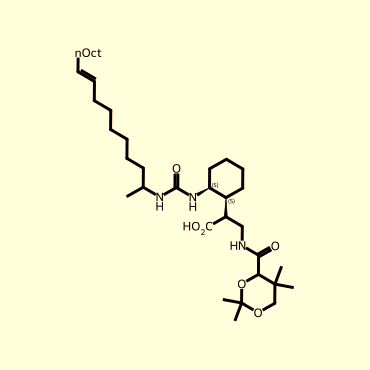 CCCCCCCCC=CCCCCCCC(C)NC(=O)N[C@H]1CCCC[C@H]1C(CNC(=O)C1OC(C)(C)OCC1(C)C)C(=O)O